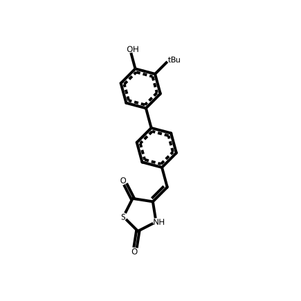 CC(C)(C)c1cc(-c2ccc(C=C3NC(=O)SC3=O)cc2)ccc1O